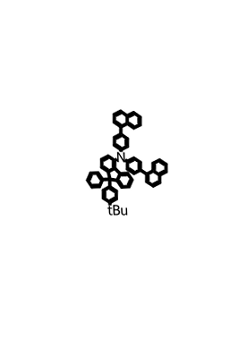 CC(C)(C)c1ccc(C2(c3ccccc3)c3ccccc3-c3c(N(c4ccc(-c5cccc6ccccc56)cc4)c4ccc(-c5cccc6ccccc56)cc4)cccc32)cc1